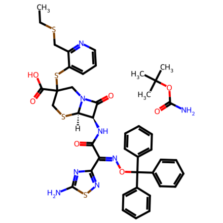 CC(C)(C)OC(N)=O.CCSCc1ncccc1SC1(C(=O)O)CS[C@@H]2[C@H](NC(=O)C(=NOC(c3ccccc3)(c3ccccc3)c3ccccc3)c3nsc(N)n3)C(=O)N2C1